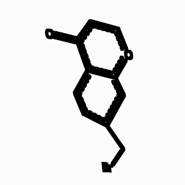 O=c1ccoc2cc(CBr)ccc12